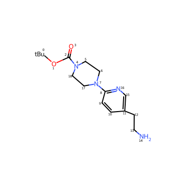 CC(C)(C)OC(=O)N1CCN(c2ccc(CCN)cn2)CC1